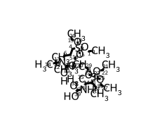 CCO[Si](CCCN(C(=O)O)C(C)(C)C)(OCC)OCC.CCO[Si](OCC)(OCC)C(CC)C(C)NC(=O)O